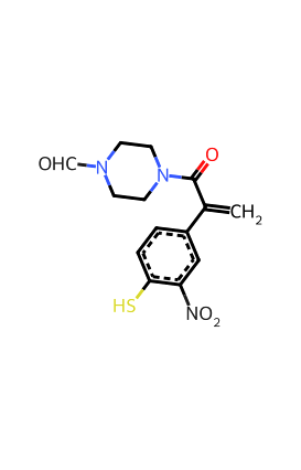 C=C(C(=O)N1CCN(C=O)CC1)c1ccc(S)c([N+](=O)[O-])c1